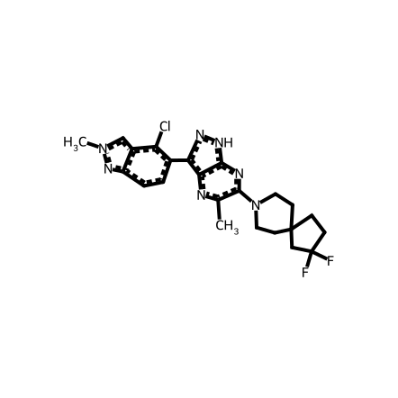 Cc1nc2c(-c3ccc4nn(C)cc4c3Cl)n[nH]c2nc1N1CCC2(CC1)CCC(F)(F)C2